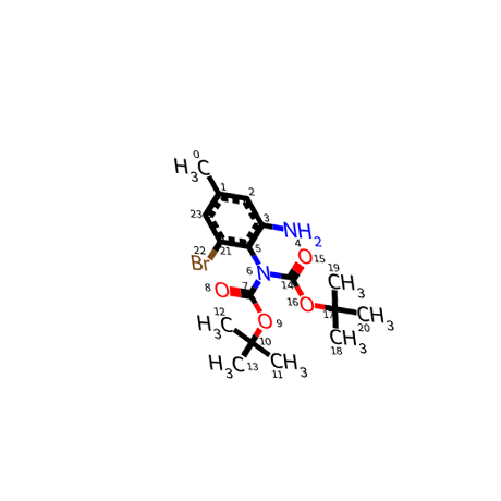 Cc1cc(N)c(N(C(=O)OC(C)(C)C)C(=O)OC(C)(C)C)c(Br)c1